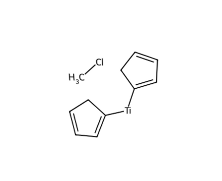 C1=CC[C]([Ti][C]2=CC=CC2)=C1.CCl